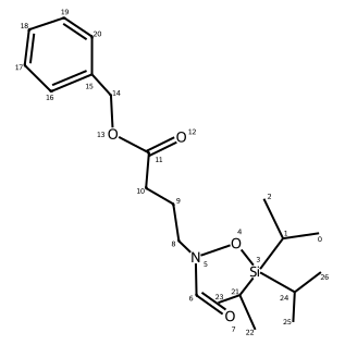 CC(C)[Si](ON(C=O)CCCC(=O)OCc1ccccc1)(C(C)C)C(C)C